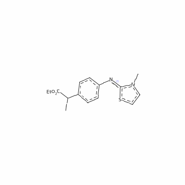 CCOC(=O)C(C)c1ccc(/N=c2\sccn2C)cc1